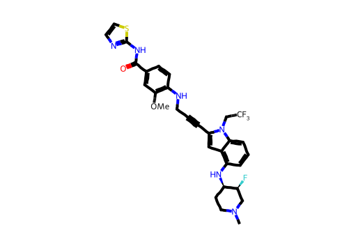 COc1cc(C(=O)Nc2nccs2)ccc1NCC#Cc1cc2c(N[C@@H]3CCN(C)C[C@@H]3F)cccc2n1CC(F)(F)F